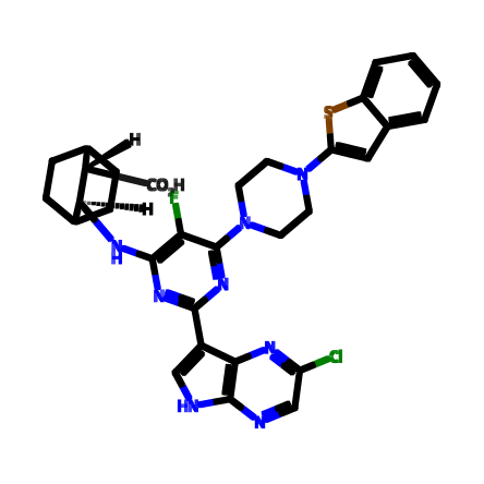 O=C(O)[C@H]1C2CCC(CC2)[C@@H]1Nc1nc(-c2c[nH]c3ncc(Cl)nc23)nc(N2CCN(c3cc4ccccc4s3)CC2)c1F